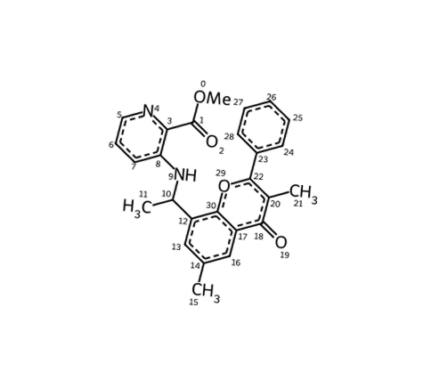 COC(=O)c1ncccc1NC(C)c1cc(C)cc2c(=O)c(C)c(-c3ccccc3)oc12